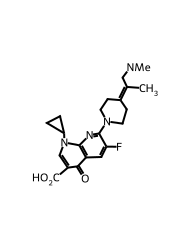 CNCC(C)=C1CCN(c2nc3c(cc2F)c(=O)c(C(=O)O)cn3C2CC2)CC1